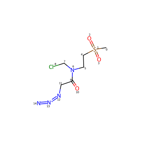 CS(=O)(=O)CCN(CCl)C(=O)CN=[N+]=[N-]